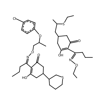 CCC/C(=N\OCC)C1=C(O)CC(CC(C)SCC)CC1=O.CCCC(=NOCC(C)Oc1ccc(Cl)cc1)C1=C(O)CC(C2CCCSC2)CC1=O